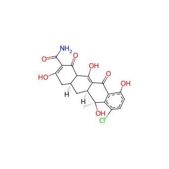 C[C@@]1(O)c2c(Cl)ccc(O)c2C(=O)C2=C(O)C3C(=O)C(C(N)=O)=C(O)C[C@@H]3C[C@@H]21